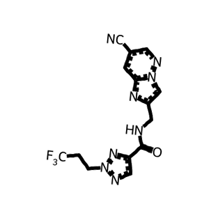 N#Cc1cnn2cc(CNC(=O)c3cnn(CCC(F)(F)F)n3)nc2c1